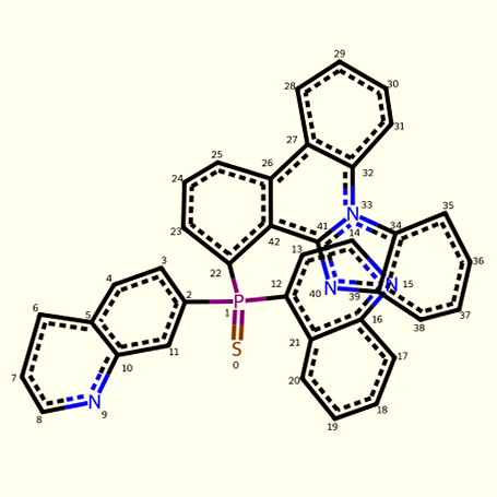 S=P(c1ccc2cccnc2c1)(c1ccnc2ccccc12)c1cccc2c3ccccc3n3c4ccccc4nc3c12